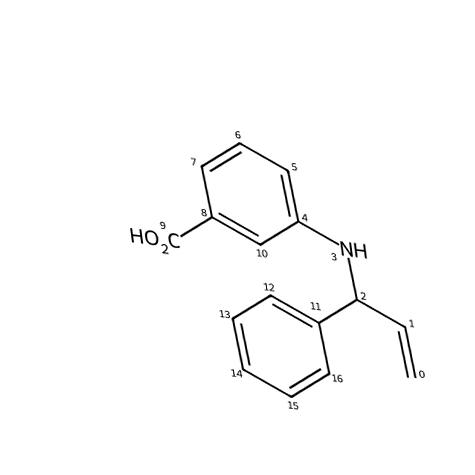 C=CC(Nc1cccc(C(=O)O)c1)c1ccccc1